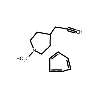 C#CCC1CCN(C(=O)O)CC1.c1ccccc1